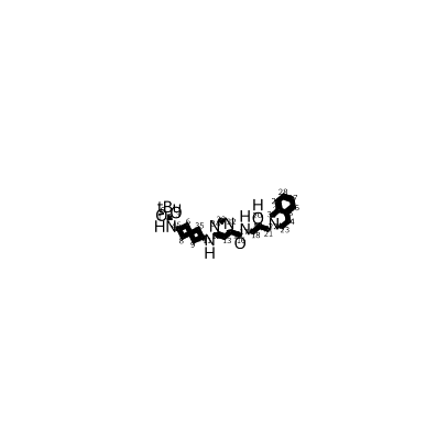 CC(C)(C)OC(=O)NC1CC2(C1)CC(Nc1cc(C(=O)NC[C@H](O)CN3CCc4ccccc4C3)ncn1)C2